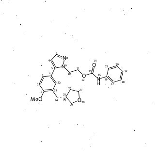 COc1ccc(-c2ccnn2CCOC(=O)Nc2ccccc2)cc1C[C@@H]1CCOC1